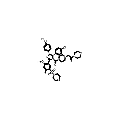 CCOc1cc(C)c(S(=O)(=O)N2CCOCC2)cc1C1=N[C@@H](c2ccc(Cl)cc2)[C@@H](c2ccc(Cl)cc2)N1C(=O)N1CCN(CC(=O)N2CCOCC2)CC1.Cl